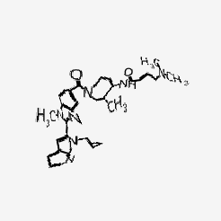 C[C@H]1CN(C(=O)c2ccc3c(c2)nc(-c2cc4cccnc4n2CC2CC2)n3C)CC[C@H]1NC(=O)/C=C/CN(C)C